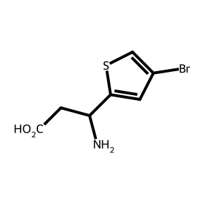 NC(CC(=O)O)c1cc(Br)cs1